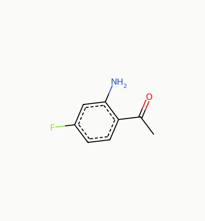 CC(=O)c1ccc(F)cc1N